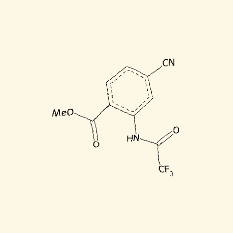 COC(=O)c1ccc(C#N)cc1NC(=O)C(F)(F)F